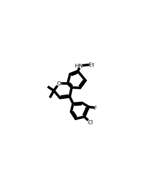 CCNc1ccc2c(c1)OC(C)(C)C=C2c1ccc(Cl)c(F)c1